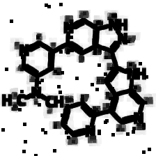 CN(C)c1cncc(-c2cc3c(-c4cc5c(-c6ccccn6)cncc5[nH]4)n[nH]c3cn2)c1